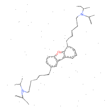 CC(C)N(CCCCCc1ccc2oc3c(CCCCCN(C(C)C)C(C)C)cccc3c2c1)C(C)C